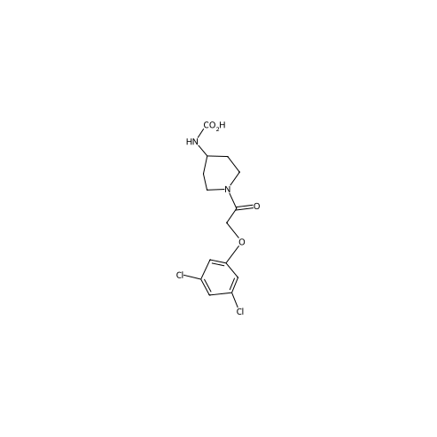 O=C(O)NC1CCN(C(=O)COc2cc(Cl)cc(Cl)c2)CC1